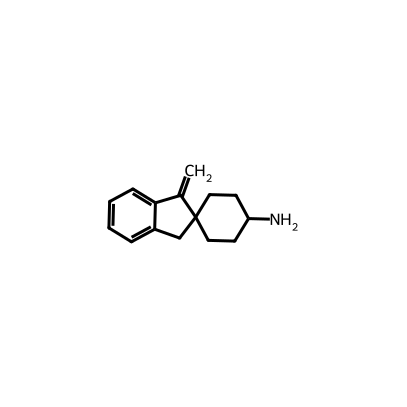 C=C1c2ccccc2CC12CCC(N)CC2